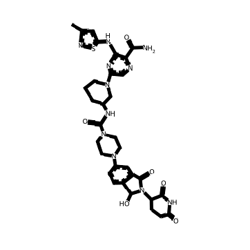 Cc1cc(Nc2nc(N3CCCC(NC(=O)N4CCN(c5ccc6c(c5)C(=O)N(C5CCC(=O)NC5=O)C6O)CC4)C3)cnc2C(N)=O)sn1